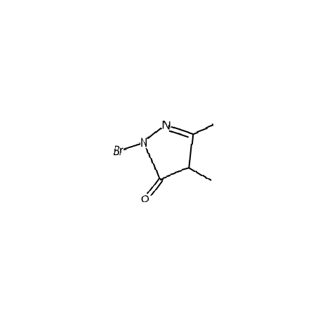 CC1=NN(Br)C(=O)C1C